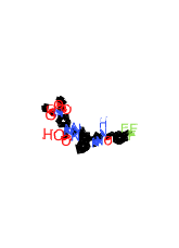 Cn1nc(NC(=O)Cc2cccc(C(F)(F)F)c2)cc1-c1cc2cnc(N(C(=O)O)C3CCC(N(C(=O)OC(C)(C)C)C(=O)OC(C)(C)C)CC3)nc2c2ccccc12